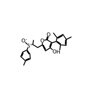 Cc1ccc([S+]([O-])C(C)Cc2cc(O)c(-c3c(C)cc(C)cc3C)c(=O)o2)cc1